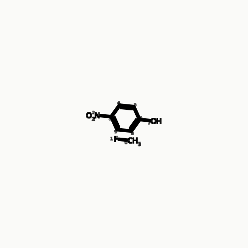 CF.O=[N+]([O-])c1ccc(O)cc1